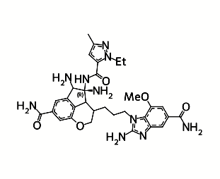 CCn1nc(C)cc1C(=O)N[C@@]1(N)C(N)c2cc(C(N)=O)cc3c2C1C(CCCn1c(N)nc2cc(C(N)=O)cc(OC)c21)CO3